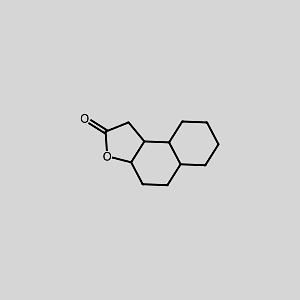 O=C1CC2C(CCC3CCCCC32)O1